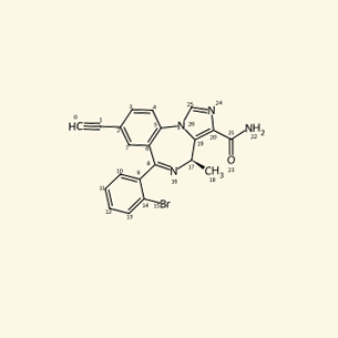 C#Cc1ccc2c(c1)C(c1ccccc1Br)=N[C@H](C)c1c(C(N)=O)ncn1-2